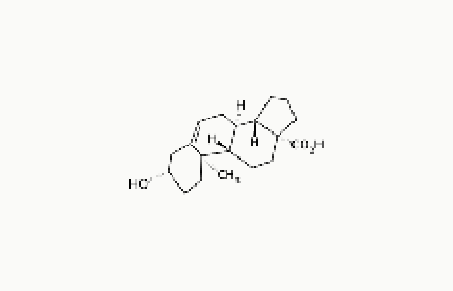 C[C@]12CC[C@H](O)CC1=CC[C@H]1[C@@H]3CCC[C@@]3(C(=O)O)CC[C@@H]12